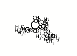 CC[C@H]1CCC[C@H](O[C@H]2CC[C@H](N(C)C)C(C)O2)[C@@H](C)C(=O)C2=C[C@@H]3C(C(=O)C(N=[N+]=[N-])[C@@H]4C[C@@H](OC5OC(C)C(OC)C(OC)C5OC)C[C@@H]34)C2CC(=O)O1